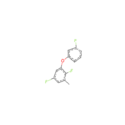 Cc1cc(F)cc(Oc2cccc(F)c2)c1F